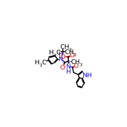 Cc1ccc(NC(=O)[C@](C)(NC(=O)Cc2c[nH]c3ccccc23)C(=O)OC(C)(C)C)cc1